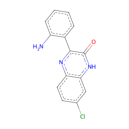 Nc1ccccc1-c1nc2ccc(Cl)cc2[nH]c1=O